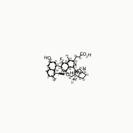 C#Cc1c(F)ccc2cc(O)cc(-c3nc4c5c(nc(CCC(=O)O)c(C)c5c3F)N3C[C@H]5CC[C@H](N5)[C@H]3[C@H](C)O4)c12